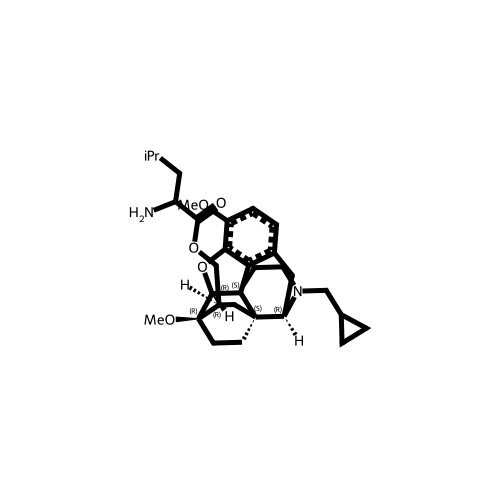 COc1ccc2c3c1O[C@H]1[C@@]4(OC)CC[C@@]5(C[C@@H]4COC(=O)C(N)CC(C)C)[C@@H](C2)N(CC2CC2)CC[C@]315